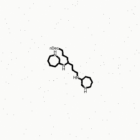 CCCCCCCCCCC[CH]CC(CCCNC1CCCCNC1)NC1CCCCNC1